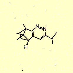 CC(C)c1cc2c(nn1)C1(C)CC[C@@H]2C1(C)C